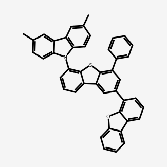 Cc1ccc2c(c1)c1cc(C)ccc1n2-c1cccc2c1sc1c(-c3ccccc3)cc(-c3cccc4c3oc3ccccc34)cc12